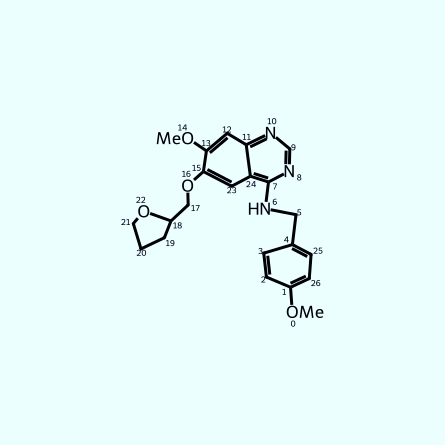 COc1ccc(CNc2ncnc3cc(OC)c(OCC4CCCO4)cc23)cc1